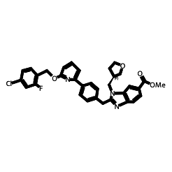 COC(=O)c1ccc2nc(Cc3ccc(-c4cccc(OCc5ccc(Cl)cc5F)n4)cc3)n(C[C@H]3CCOC3)c2c1